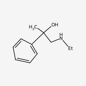 CCNCC(C)(O)c1ccccc1